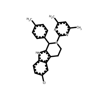 Cc1ccc(C2c3[nH]c4ccc(Cl)cc4c3CCN2c2nc(C)cc(C)n2)cc1